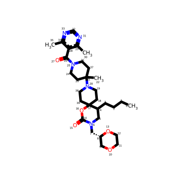 CCCCC1CN(C[C@H]2COCCO2)C(=O)OC12CCN(C1(C)CCN(C(=O)c3c(C)ncnc3C)CC1)CC2